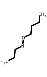 CCCCO[N]CCC